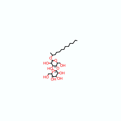 CCCCCCCCCCCC(C)O[C@@H]1OC(CO)[C@@H](O[C@H]2OC(CO)[C@@H](O)C(O)C2O)C(O)C1O